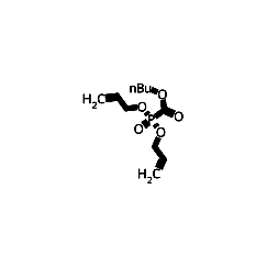 C=CCOP(=O)(OCC=C)C(=O)OCCCC